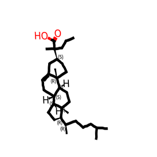 CCCC(C)(C(=O)O)[C@H]1CC[C@@]2(C)C(=CC[C@H]3[C@@H]4CC[C@H]([C@H](C)CCCC(C)C)[C@@]4(C)CC[C@@H]32)C1